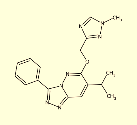 CC(C)c1cc2nnc(-c3ccccc3)n2nc1OCc1ncn(C)n1